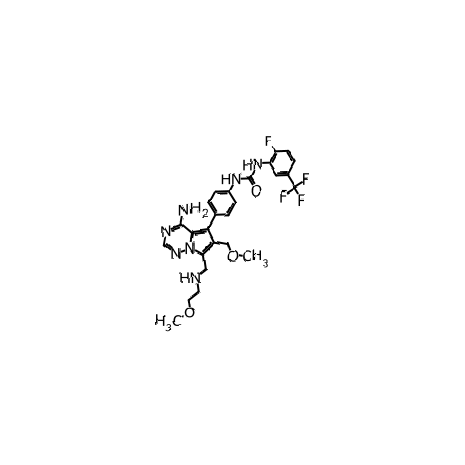 COCCNCc1c(COC)c(-c2ccc(NC(=O)Nc3cc(C(F)(F)F)ccc3F)cc2)c2c(N)ncnn12